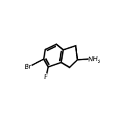 NC1Cc2ccc(Br)c(F)c2C1